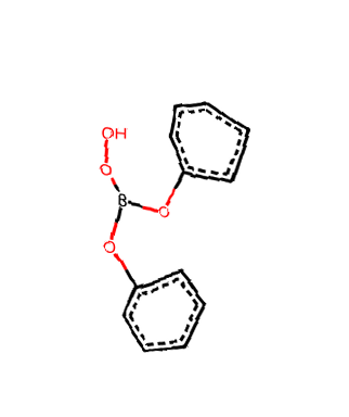 OOB(Oc1ccccc1)Oc1ccccc1